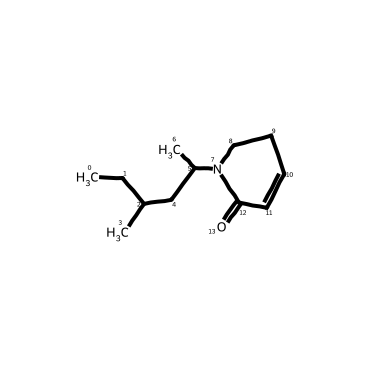 CCC(C)CC(C)N1CCC=CC1=O